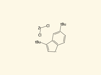 CC(C)(C)C1=C[CH]c2ccc(C(C)(C)C)cc21.[Cl][Zr][Cl]